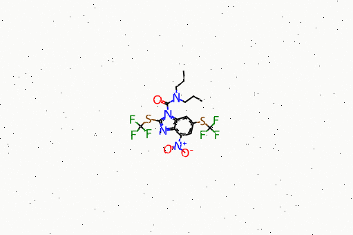 CCCN(CCC)C(=O)n1c(SC(F)(F)F)nc2c([N+](=O)[O-])cc(SC(F)(F)F)cc21